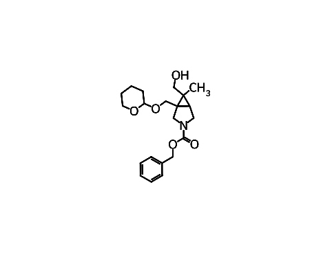 CC1(CO)C2CN(C(=O)OCc3ccccc3)CC21COC1CCCCO1